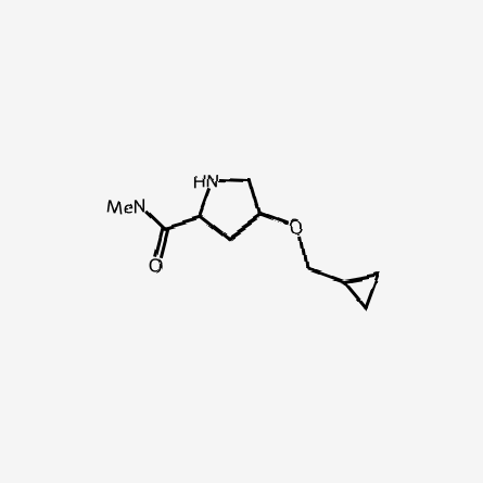 CNC(=O)C1CC(OCC2CC2)CN1